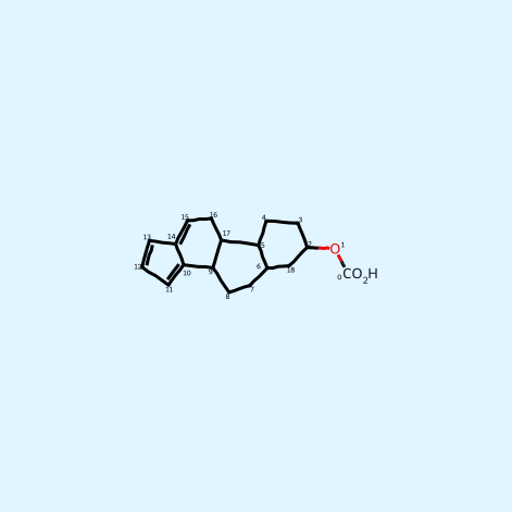 O=C(O)OC1CCC2C(CCC3C4=CC=CC4=CCC32)C1